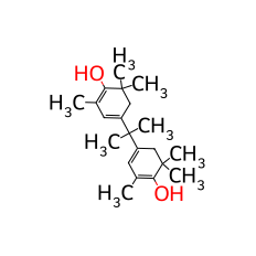 CC1=C(O)C(C)(C)CC(C(C)(C)C2=CC(C)=C(O)C(C)(C)C2)=C1